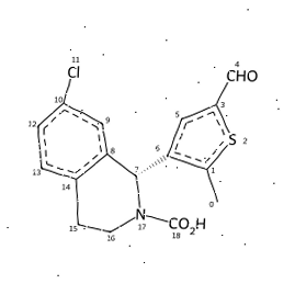 Cc1sc(C=O)cc1[C@H]1c2cc(Cl)ccc2CCN1C(=O)O